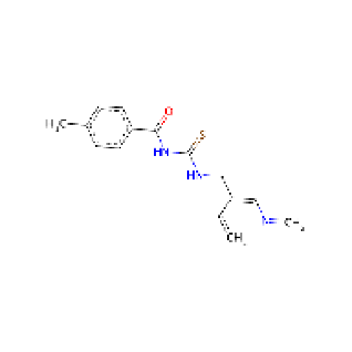 C=C/C(=C\N=C)CNC(=S)NC(=O)c1ccc(C)cc1